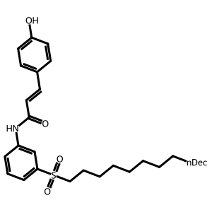 CCCCCCCCCCCCCCCCCCS(=O)(=O)c1cccc(NC(=O)/C=C/c2ccc(O)cc2)c1